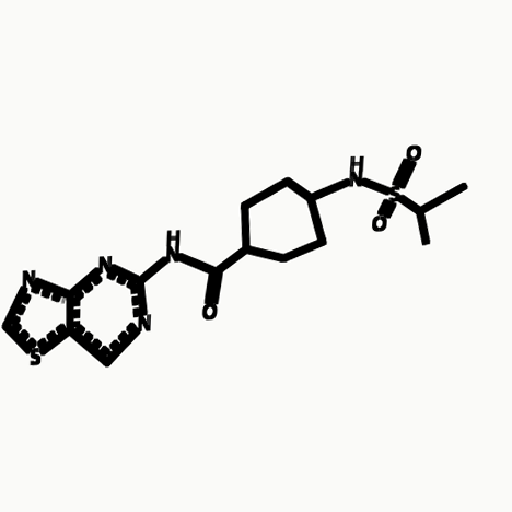 CC(C)S(=O)(=O)NC1CCC(C(=O)Nc2ncc3scnc3n2)CC1